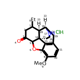 CCC1CC(=O)C2Oc3c(OC)ccc4c3[C@@]23CCN[C@H](C4)[C@H]13.Cl